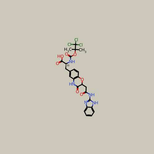 CC(C)(OC(=O)N[C@@H](Cc1ccc2c(c1)NC(=O)C(CC(=O)Nc1nc3ccccc3[nH]1)O2)C(=O)O)C(Cl)(Cl)Cl